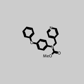 COC(=O)N(Cc1ccncc1)c1ccc(Oc2ccccc2)cc1